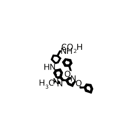 Cn1nc(-c2ccc(OCc3ccccc3)nc2OCc2ccccc2)c2ccc(NC3CCC(CNC(=O)O)CC3)cc21